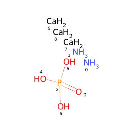 N.N.O=P(O)(O)O.[CaH2].[CaH2].[CaH2]